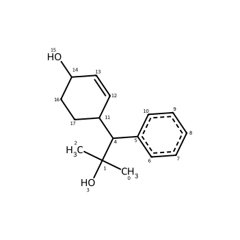 CC(C)(O)C(c1ccccc1)C1C=CC(O)CC1